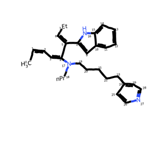 C\C=C/C=C(\C(=C\CC)c1cc2ccccc2[nH]1)N(CCC)CCCCCc1ccncc1